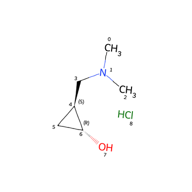 CN(C)C[C@@H]1C[C@H]1O.Cl